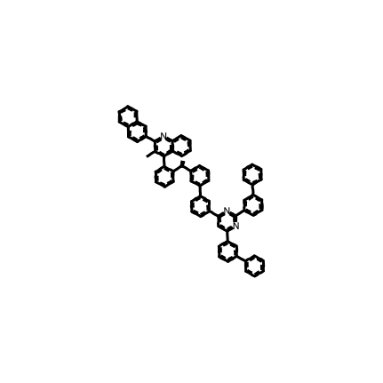 C=C(c1cccc(-c2cccc(-c3cc(-c4cccc(-c5ccccc5)c4)nc(-c4cccc(-c5ccccc5)c4)n3)c2)c1)c1ccccc1-c1c(C)c(-c2ccc3ccccc3c2)nc2ccccc12